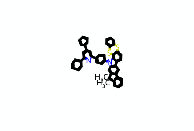 CC1(C)c2ccccc2-c2cc3c4ccc5c(c4n(-c4ccc(-c6cc(-c7ccccc7)cc(-c7ccccc7)n6)cc4)c3cc21)Sc1ccccc1S5